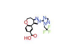 O=C(O)c1ccc2c(c1)-c1cn(-c3ncnn3CC(F)(F)F)nc1CCO2